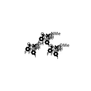 CNNCC1(O)CN(C(=O)c2ccc(F)c(F)c2Nc2ccc(I)cc2F)C1.CONCC1(O)CN(C(=O)c2ccc(F)c(F)c2Nc2ccc(I)cc2F)C1.O=C(c1ccc(F)c(F)c1Nc1ccc(I)cc1F)N1CC(O)(CNO)C1